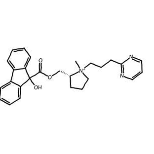 C[N+]1(CCCc2ncccn2)CCC[C@@H]1COC(=O)C1(O)c2ccccc2-c2ccccc21